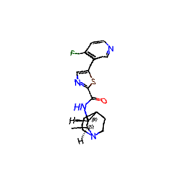 C[C@H]1[C@H](NC(=O)c2ncc(-c3cnccc3F)s2)C2CCN1CC2